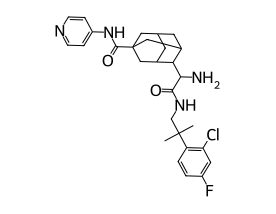 CC(C)(CNC(=O)C(N)C1C2CC3CC1CC(C(=O)Nc1ccncc1)(C3)C2)c1ccc(F)cc1Cl